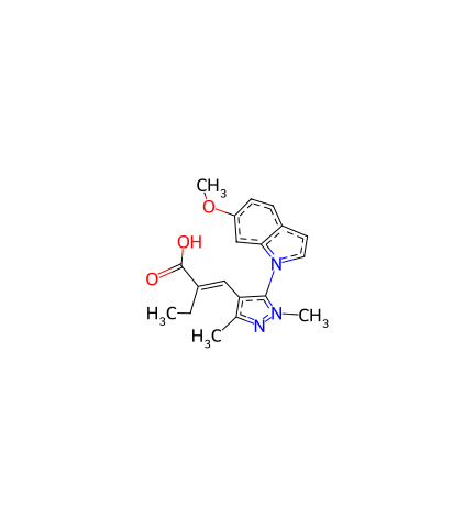 CCC(=Cc1c(C)nn(C)c1-n1ccc2ccc(OC)cc21)C(=O)O